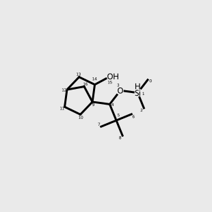 C[SiH](C)OC(C(C)(C)C)C12CCC(CC1O)C2